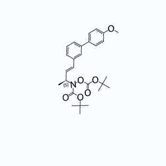 COc1ccc(-c2cccc(C=C[C@H](C)N(OC(=O)OC(C)(C)C)C(=O)OC(C)(C)C)c2)cc1